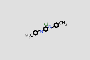 Cc1ccc(C=Nc2ccc(N=Cc3ccc(C)cc3)c(Cl)c2)cc1